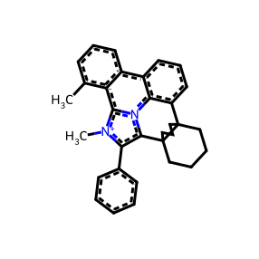 Cc1cccc2c3cccc4c3n3c(c(-c5ccccc5)[n+](C)c3c12)C12CCCCC41CCC2